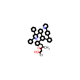 CC/C(O)=C/C(=O)C(C)Cc1ccccc1-c1cc(-c2ccccc2-c2ccc(-c3ccccn3)cc2)cc(-c2ccccc2-c2cnc(-c3ccccc3)cc2-c2ccccc2)c1